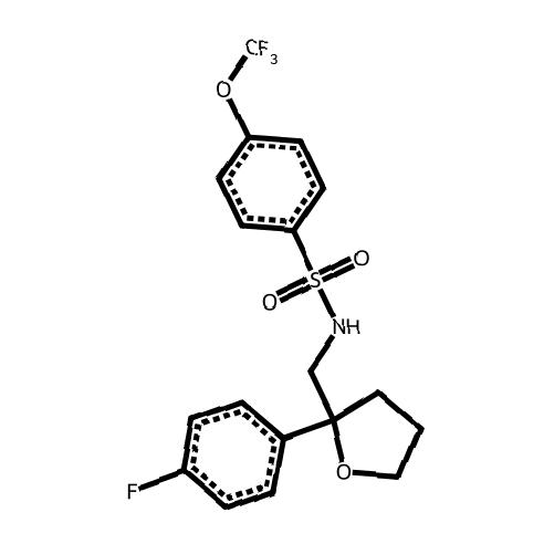 O=S(=O)(NCC1(c2ccc(F)cc2)CCCO1)c1ccc(OC(F)(F)F)cc1